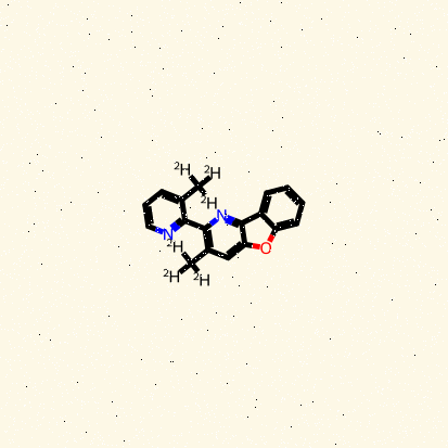 [2H]C([2H])([2H])c1cccnc1-c1nc2c(cc1C([2H])([2H])[2H])oc1ccccc12